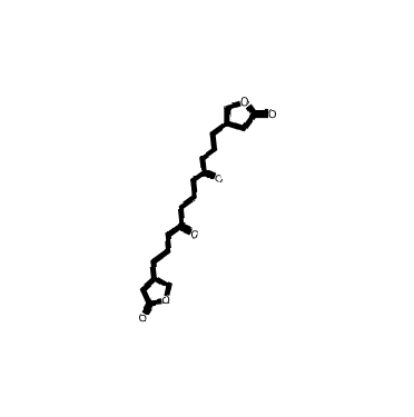 O=C(CCCC(=O)CCCC1COC(=O)C1)CCCC1COC(=O)C1